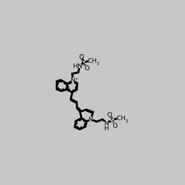 CS(=O)(=O)NCCN1C=CC(=CC=Cc2cc[n+](CCNS(C)(=O)=O)c3ccccc23)c2ccccc21